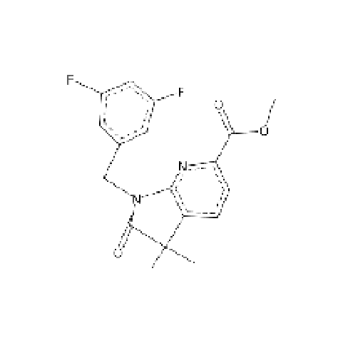 COC(=O)c1ccc2c(n1)N(Cc1cc(F)cc(F)c1)C(=O)C2(C)C